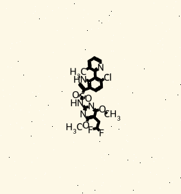 COc1nc(NS(=O)(=O)c2c[nH]c3c(-c4ncccc4C)c(Cl)ccc23)nc(OC)c1CC(F)F